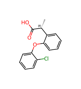 C[C@@H](C(=O)O)c1ccccc1Oc1ccccc1Cl